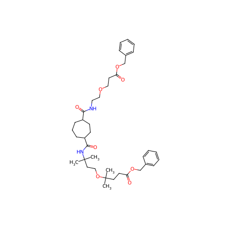 CC(C)(CCOC(C)(C)CCC(=O)OCc1ccccc1)NC(=O)C1CCCC(C(=O)NCCOCCC(=O)OCc2ccccc2)CC1